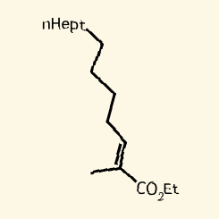 CCCCCCCCCCCC=C(C)C(=O)OCC